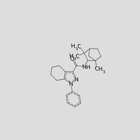 CC12CCC(C1)C(C)(C)C2NC(=O)c1nn(-c2ccccc2)c2c1CCCC2